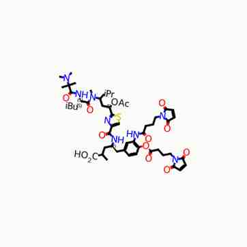 CC[C@H](C)[C@H](NC(=O)C(C)(C)N(C)C)C(=O)N(C)C(C[C@@H](OC(C)=O)c1nc(C(=O)N[C@@H](Cc2ccc(OC(=O)CCCN3C(=O)C=CC3=O)c(NC(=O)CCCN3C(=O)C=CC3=O)c2)CC(C)C(=O)O)cs1)C(C)C